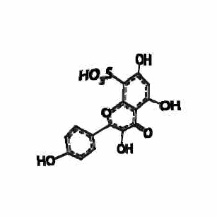 O=c1c(O)c(-c2ccc(O)cc2)oc2c(S(=O)(=O)O)c(O)cc(O)c12